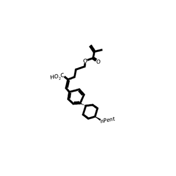 C=C(C)C(=O)OCCCC(=Cc1ccc([C@H]2CC[C@H](CCCCC)CC2)cc1)C(=O)O